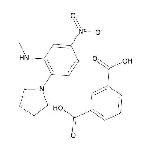 CNc1cc([N+](=O)[O-])ccc1N1CCCC1.O=C(O)c1cccc(C(=O)O)c1